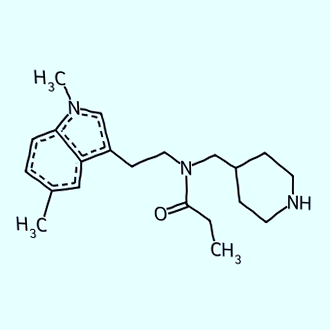 CCC(=O)N(CCc1cn(C)c2ccc(C)cc12)CC1CCNCC1